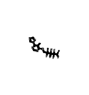 Cc1c(OCC(F)(F)C(F)(F)C(F)(F)C(F)F)ncnc1-n1cncn1